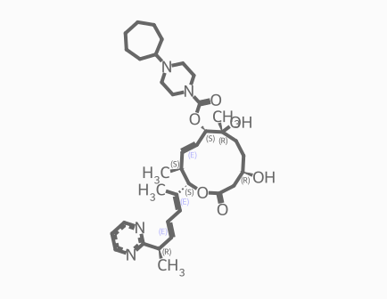 C/C(=C\C=C\[C@@H](C)c1ncccn1)[C@H]1OC(=O)C[C@H](O)CC[C@@](C)(O)[C@@H](OC(=O)N2CCN(C3CCCCCC3)CC2)/C=C/[C@@H]1C